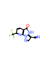 N#Cc1cnn2c1[nH]c(=O)c1ccc(C(F)(F)F)nc12